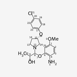 COc1ccc(N)c(OC(C(C)O)N2CC[C@H](Oc3ccc(Cl)cc3)C2)c1